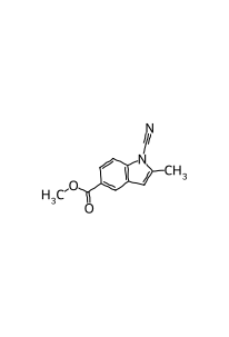 COC(=O)c1ccc2c(c1)cc(C)n2C#N